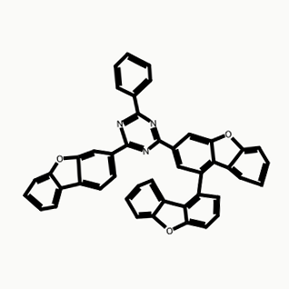 c1ccc(-c2nc(-c3ccc4c(c3)oc3ccccc34)nc(-c3cc(-c4cccc5oc6ccccc6c45)c4c(c3)oc3ccccc34)n2)cc1